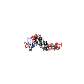 CC(=O)NCCN(CC1CC1)C[C@H](OC(C)=O)[C@@]12CC[C@]3(C)[C@H](CC[C@@H]4[C@@]5(C)CC[C@@H](OC(=O)CC(C)(C)C(=O)O)C(C)(C)[C@@H]5CC[C@]43C)C1=C(C(C)C)C(=O)C2